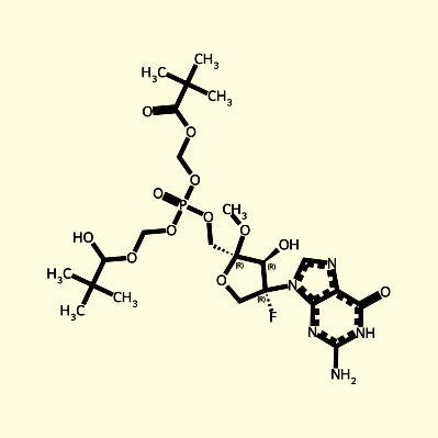 CO[C@]1(COP(=O)(OCOC(=O)C(C)(C)C)OCOC(O)C(C)(C)C)OC[C@](F)(n2cnc3c(=O)[nH]c(N)nc32)[C@@H]1O